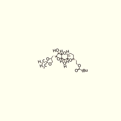 CC1(C)OCC(C[C@H]2O[C@H]3[C@@H](O)[C@H]4O[C@@H](CCOC(=O)C(C)(C)C)CC[C@@H]4O[C@H]3[C@H]2O)O1